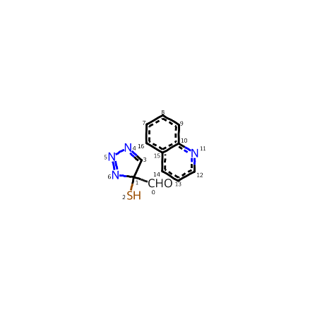 O=CC1(S)C=NN=N1.c1ccc2ncccc2c1